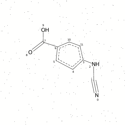 N#CNc1ccc(C(=O)O)cc1